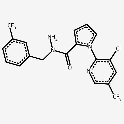 NN(Cc1cccc(C(F)(F)F)c1)C(=O)c1cccn1-c1ncc(C(F)(F)F)cc1Cl